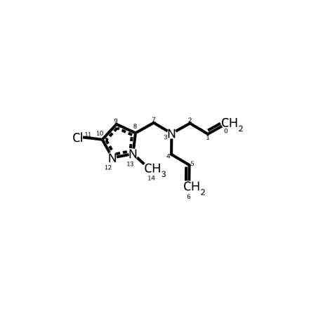 C=CCN(CC=C)Cc1cc(Cl)nn1C